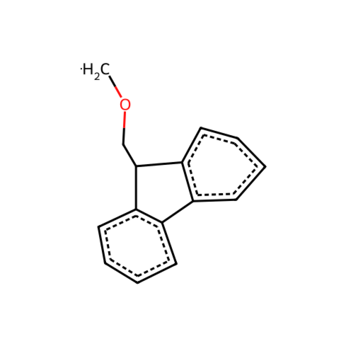 [CH2]OCC1c2ccccc2-c2ccccc21